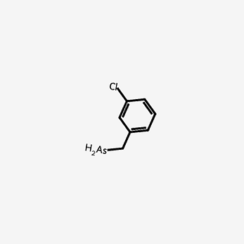 Clc1cccc(C[AsH2])c1